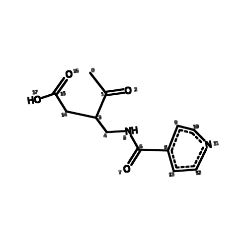 CC(=O)C(CNC(=O)c1ccncc1)CC(=O)O